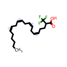 CCCCC/C=C\C/C=C\C/C=C\C/C=C\CCC(C(=O)O)C(F)(F)F